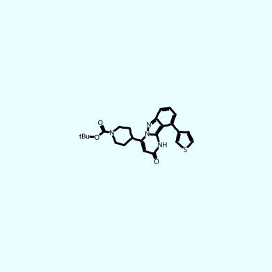 CC(C)(C)OC(=O)N1CCC(c2cc(=O)[nH]c3c4c(-c5ccsc5)cccc4nn23)CC1